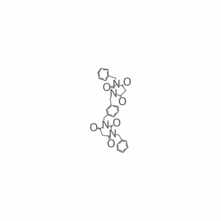 O=C1CC(=O)N(Cc2cccc(CN3C(=O)CC(=O)N(Cc4ccccc4)C3=O)c2)C(=O)N1Cc1ccccc1